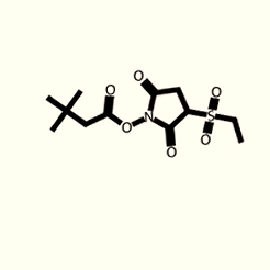 CCS(=O)(=O)C1CC(=O)N(OC(=O)CC(C)(C)C)C1=O